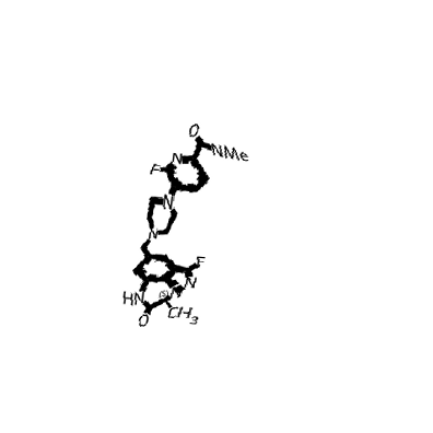 CNC(=O)c1ccc(N2CCN(Cc3cc4c5c(c3)c(F)nn5[C@@H](C)C(=O)N4)CC2)c(F)n1